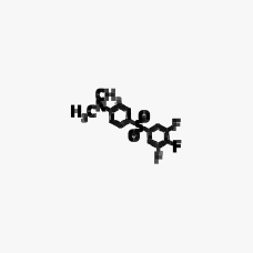 CN(C)c1ccc(S(=O)(=O)c2cc(F)c(F)c(F)c2)cc1